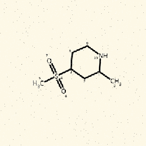 CC1CC(S(C)(=O)=O)CCN1